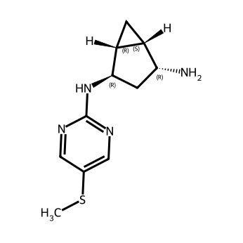 CSc1cnc(N[C@@H]2C[C@@H](N)[C@H]3C[C@H]32)nc1